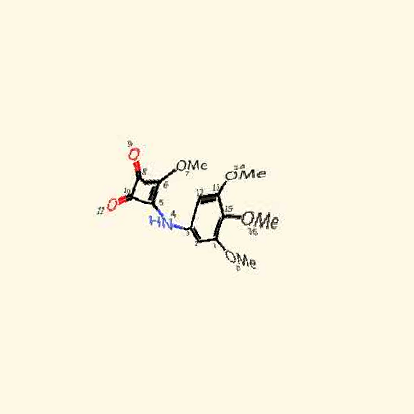 COc1cc(Nc2c(OC)c(=O)c2=O)cc(OC)c1OC